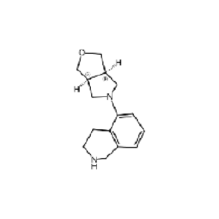 c1cc2c(c(N3C[C@H]4COC[C@H]4C3)c1)CCNC2